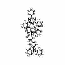 c1ccc(-c2nc(-c3ccccc3)nc(-c3cccc4c3sc3c(-n5c6ccccc6c6ccc(-c7ccc8c(c7)c7ccccc7n8-c7ccccc7)cc65)cccc34)n2)cc1